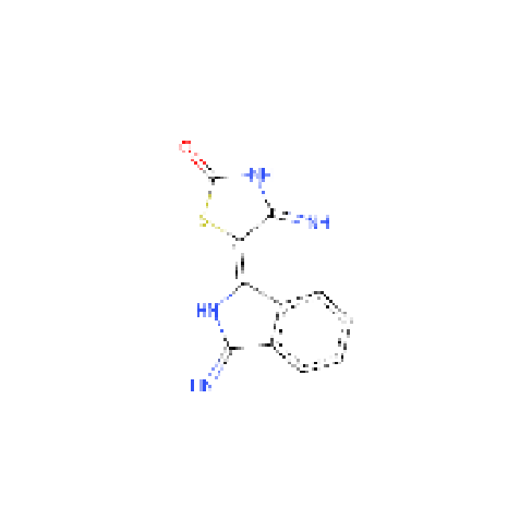 N=C1NC(=O)SC1=C1NC(=N)c2ccccc21